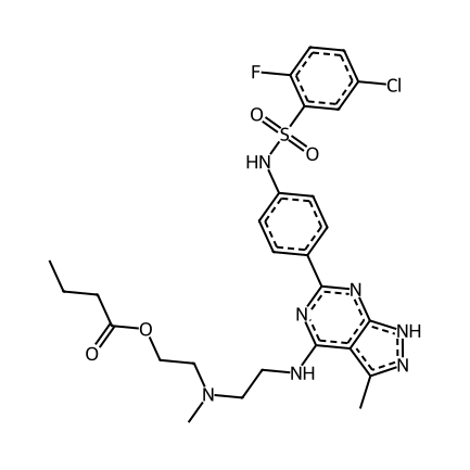 CCCC(=O)OCCN(C)CCNc1nc(-c2ccc(NS(=O)(=O)c3cc(Cl)ccc3F)cc2)nc2[nH]nc(C)c12